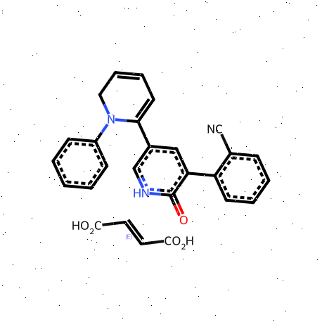 N#Cc1ccccc1-c1cc(C2=CC=CCN2c2ccccc2)c[nH]c1=O.O=C(O)/C=C/C(=O)O